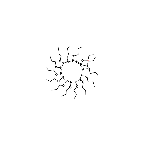 CCCON1P(OCCC)N=P(OCCC)(OCCC)N(OCCC)P(OCCC)N(OCCC)P(OCCC)N(OCCC)P(OCCC)N(OCCC)P(OCCC)N(OCCC)P1OCCC